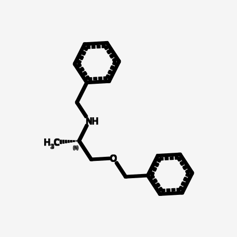 C[C@@H](COCc1ccccc1)NCc1ccccc1